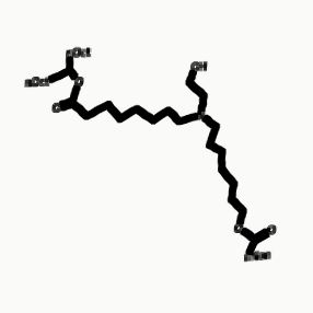 CCCCCCCCCC(=O)OCCCCCCCN(CCO)CCCCCCCC(=O)OC(CCCCCCCC)CCCCCCCC